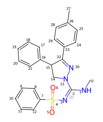 CN/C(=N/S(=O)(=O)c1ccccc1)N1CC(c2ccccc2)C(c2ccc(C)cc2)=N1